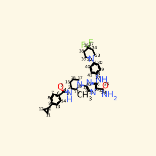 C[C@@H]1[C@H](NC(=O)c2ccc(C3CC3)cc2)CCCN1c1cnc(C(N)=O)c(Nc2ccc(N3CCC(F)(F)CC3)cc2)n1